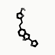 Cc1ccc(CCc2ccc3[nH]c(-c4ccco4)cc3c2)o1